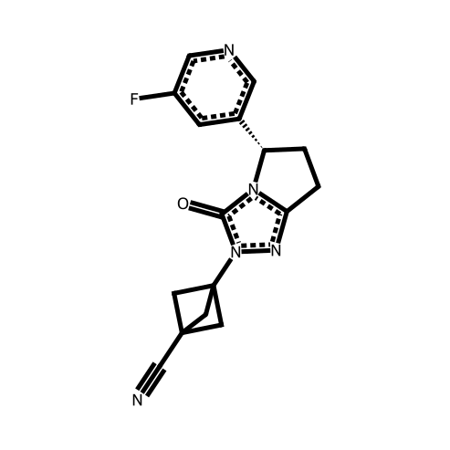 N#CC12CC(n3nc4n(c3=O)[C@H](c3cncc(F)c3)CC4)(C1)C2